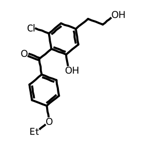 CCOc1ccc(C(=O)c2c(O)cc(CCO)cc2Cl)cc1